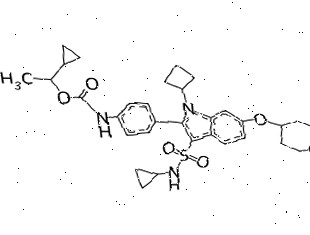 CC(OC(=O)Nc1ccc(-c2c(S(=O)(=O)NC3CC3)c3ccc(OC4CCOCC4)cc3n2C2CCC2)cc1)C1CC1